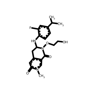 CC(C)c1ccc(NC2Cc3cc(=O)n(C)cc3C(=O)N2OCCO)c(F)c1